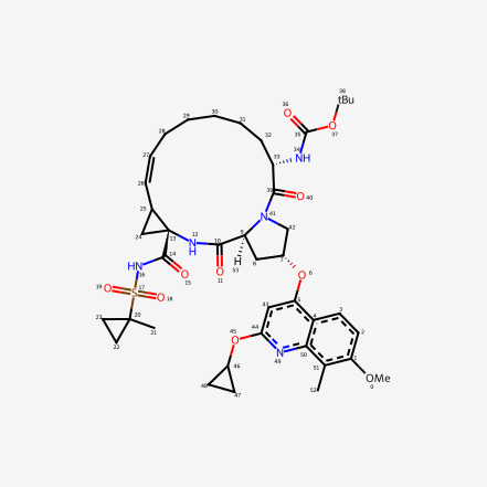 COc1ccc2c(O[C@@H]3C[C@H]4C(=O)N[C@]5(C(=O)NS(=O)(=O)C6(C)CC6)CC5/C=C\CCCCC[C@H](NC(=O)OC(C)(C)C)C(=O)N4C3)cc(OC3CC3)nc2c1C